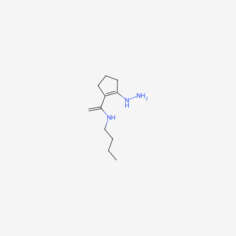 C=C(NCCCC)C1=C(NN)CCC1